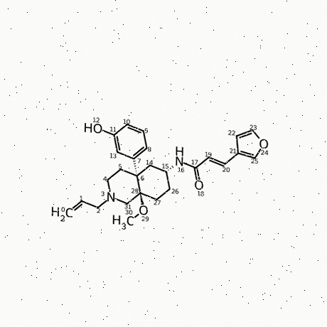 C=CCN1CC[C@@]2(c3cccc(O)c3)C[C@H](NC(=O)C=Cc3ccoc3)CC[C@]2(OC)C1